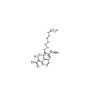 CCC(=O)N1c2ccccc2[C@H](N(CCCCCCCC(=O)O)C(=O)OC(C)(C)C)C[C@@H]1C